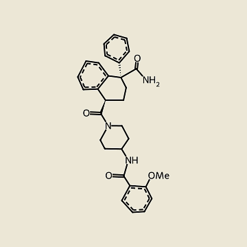 COc1ccccc1C(=O)NC1CCN(C(=O)[C@@H]2CC[C@@](C(N)=O)(c3ccccc3)c3ccccc32)CC1